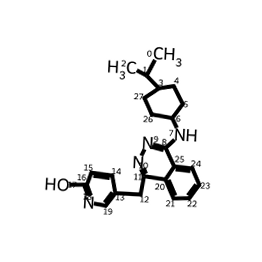 CC(C)C1CCC(Nc2nnc(Cc3ccc(O)nc3)c3ccccc23)CC1